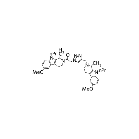 CCCn1c2c(c3cc(OC)ccc31)CCN(Cc1cn(CC(=O)N3CCc4c(n(CCC)c5ccc(OC)cc45)C3C)nn1)C2C